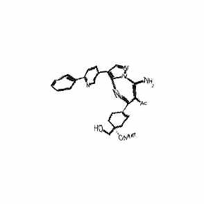 CO[C@]1(CO)CC[C@@H](c2nc3c(-c4ccc(-c5ccccc5)nc4)cnn3c(N)c2C(C)=O)CC1